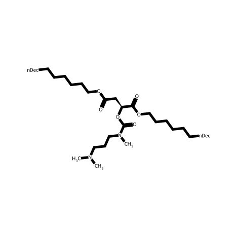 CCCCCCCCCCCCCCCCOC(=O)C[C@H](OC(=O)N(C)CCCN(C)C)C(=O)OCCCCCCCCCCCCCCCC